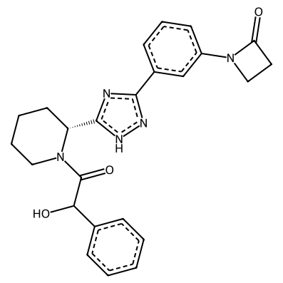 O=C1CCN1c1cccc(-c2n[nH]c([C@H]3CCCCN3C(=O)C(O)c3ccccc3)n2)c1